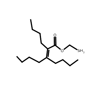 CCCCC(CCCC)=C(CCCC)C(=O)OC[SiH3]